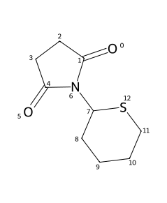 O=C1CCC(=O)N1C1CCCCS1